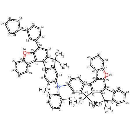 Cc1cccc(C)c1N(c1ccc2c(c1)C(C)(C)c1cc(-c3cccc(-c4ccccc4)c3)c3oc4ccccc4c3c1-2)c1ccc2c(c1)C(C)(C)c1c3c(c4oc5ccccc5c4c1-2)-c1ccccc1C3(C)C